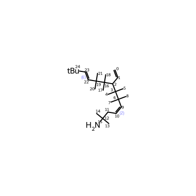 C=CC(C(C)(C)C(C)(C)/C=C\CC(C)(C)N)C(C)(C)C(C)(C)/C=C/C(C)(C)C